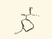 N=C(N)Nc1cccc(C=O)c1